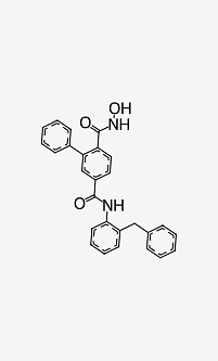 O=C(Nc1ccccc1Cc1ccccc1)c1ccc(C(=O)NO)c(-c2ccccc2)c1